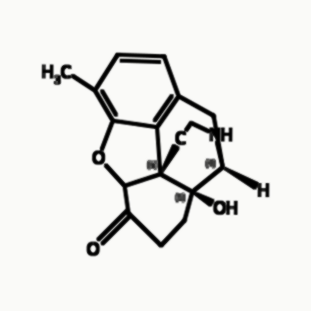 Cc1ccc2c3c1OC1C(=O)CC[C@@]4(O)[C@@H](C2)NCC[C@]314